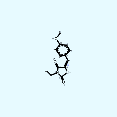 CCN1C(=O)O/C(=C/c2ccc(OC)cc2)C1=O